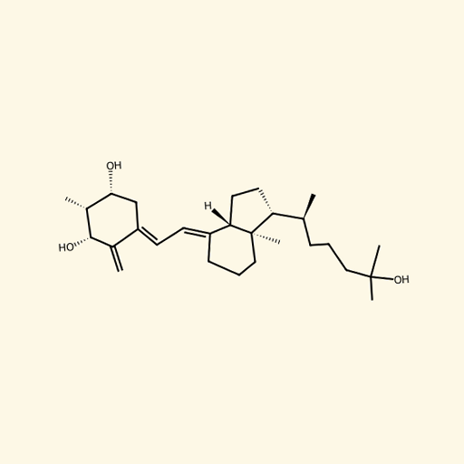 C=C1/C(=C/C=C2\CCC[C@]3(C)[C@@H]([C@@H](C)CCCC(C)(C)O)CC[C@@H]23)C[C@@H](O)[C@@H](C)[C@H]1O